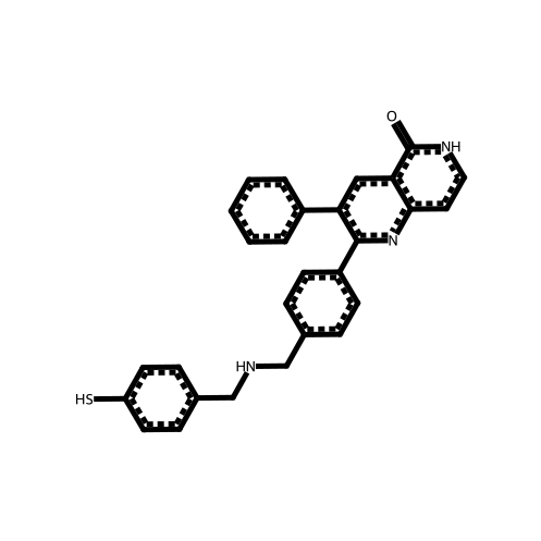 O=c1[nH]ccc2nc(-c3ccc(CNCc4ccc(S)cc4)cc3)c(-c3ccccc3)cc12